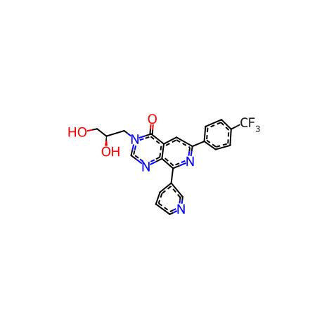 O=c1c2cc(-c3ccc(C(F)(F)F)cc3)nc(-c3cccnc3)c2ncn1C[C@@H](O)CO